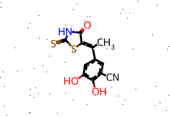 CC(=C1SC(=S)NC1=O)c1cc(O)c(O)c(C#N)c1